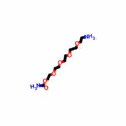 NCCOCCOCCOCCOCCOC(N)=O